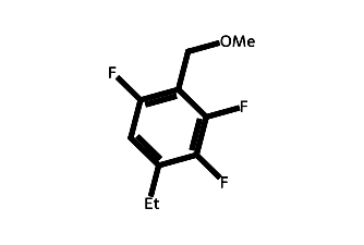 CCc1cc(F)c(COC)c(F)c1F